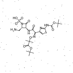 CC(C)(C)OC(=O)Nc1nc(/C(=N/OC(C)(C)C(=O)OC(C)(C)C)C(=O)N[C@@H]2C(=O)N(S(=O)(=O)O)[C@@H]2CN)cs1